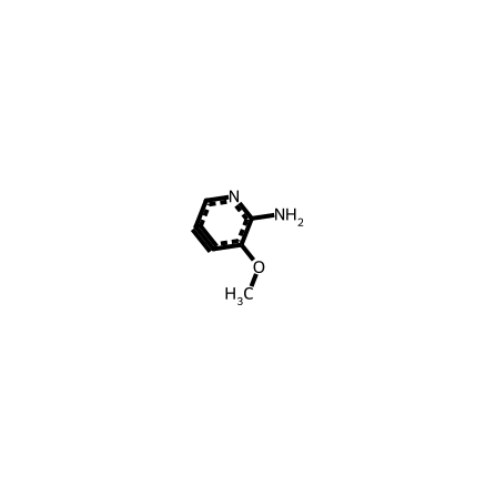 COc1c#ccnc1N